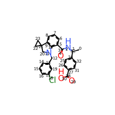 C[C@H](NC(=O)c1cccc2c1N(Cc1cccc(Cl)c1)CC21CC1)c1ccc(C(=O)O)cc1